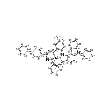 Nc1ccc(-n2c3ccccc3c3ccc4c(c5ccccc5n4-c4ccccc4)c32)c(-c2nc(-c3ccccc3)nc(-c3ccc(-c4ccccc4)cc3)n2)c1